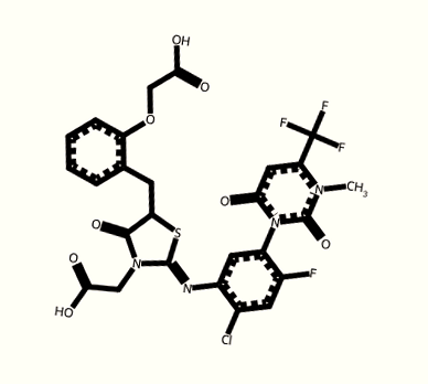 Cn1c(C(F)(F)F)cc(=O)n(-c2cc(N=C3SC(Cc4ccccc4OCC(=O)O)C(=O)N3CC(=O)O)c(Cl)cc2F)c1=O